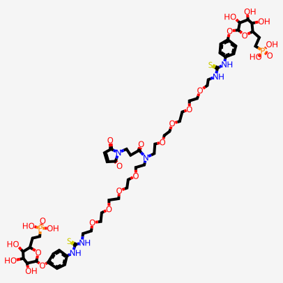 O=C(CCN1C(=O)C=CC1=O)N(CCOCCOCCOCCOCCNC(=S)Nc1ccc(OC2OC(CCP(=O)(O)O)C(O)C(O)C2O)cc1)CCOCCOCCOCCOCCNC(=S)Nc1ccc(OC2OC(CCP(=O)(O)O)C(O)C(O)C2O)cc1